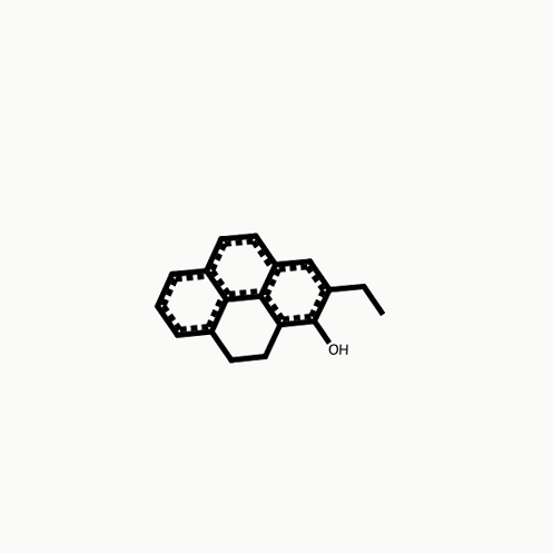 CCc1cc2ccc3cccc4c3c2c(c1O)CC4